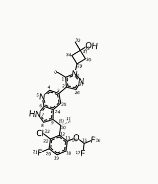 Cc1c(-c2cnc3[nH]cc([C@H](C)c4c(OC(F)F)ccc(F)c4Cl)c3c2)cnn1C1CC(C)(O)C1